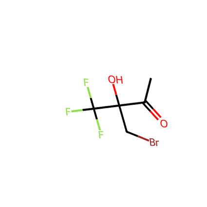 CC(=O)C(O)(CBr)C(F)(F)F